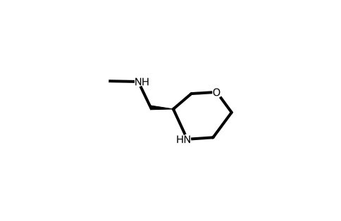 CNC[C@H]1COCCN1